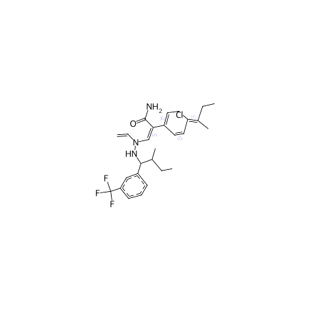 C=CN(/C=C(C(N)=O)/C(/C=C\C(Cl)=C(/C)CC)=C/C)NC(c1cccc(C(F)(F)F)c1)C(C)CC